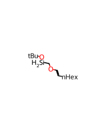 CCCCCCC=COC[SiH2]OC(C)(C)C